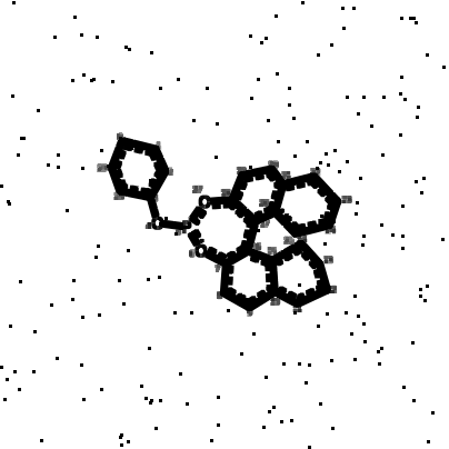 c1ccc(Op2oc3ccc4ccccc4c3c3c(ccc4ccccc43)o2)cc1